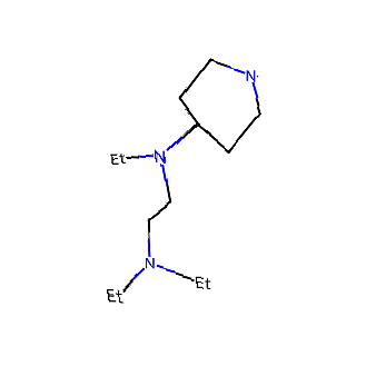 CCN(CC)CCN(CC)C1CC[N]CC1